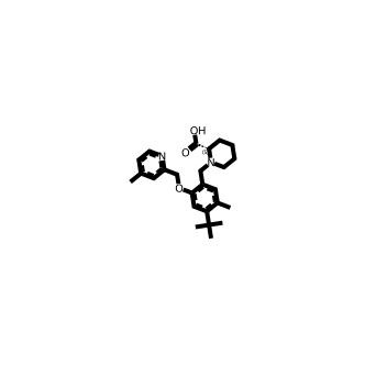 Cc1ccnc(COc2cc(C(C)(C)C)c(C)cc2CN2CCCC[C@H]2C(=O)O)c1